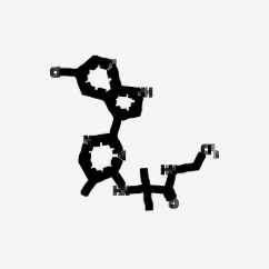 Cc1cnc(-c2c[nH]c3ncc(Cl)cc23)nc1NC(C)(C)C(=O)NCC(F)(F)F